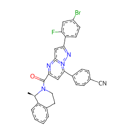 C[C@@H]1c2ccccc2CCN1C(=O)c1cc(-c2ccc(C#N)cc2)n2nc(-c3ccc(Br)cc3F)cc2n1